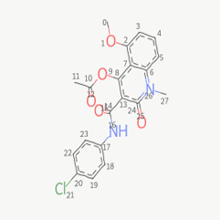 COc1cccc2c1c(OC(C)=O)c(C(=O)Nc1ccc(Cl)cc1)c(=O)n2C